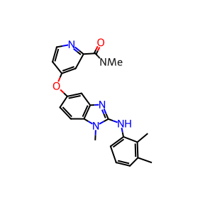 CNC(=O)c1cc(Oc2ccc3c(c2)nc(Nc2cccc(C)c2C)n3C)ccn1